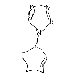 C1=CN(n2cnnn2)CC1